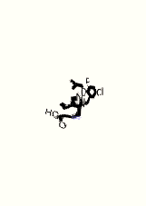 C=Cc1cnn(Cc2cc(Cl)cc(F)c2OCC(C)C)c1/C=C\CC(=O)O